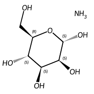 N.OC[C@H]1O[C@H](O)[C@@H](O)[C@@H](O)[C@@H]1O